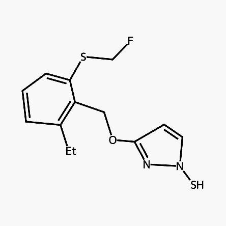 CCc1cccc(SCF)c1COc1ccn(S)n1